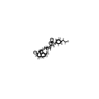 CCCc1ccc(N2C[C@@H](CCNC[C@H]3Cn4c(=O)ccc5ccc(F)c3c54)OC2=O)cc1